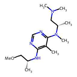 COC[C@@H](C)Nc1ncnc(N(C)[C@@H](C)CN(C)C)c1C